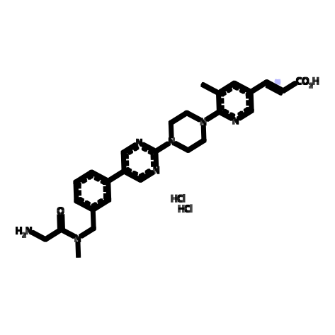 Cc1cc(/C=C/C(=O)O)cnc1N1CCN(c2ncc(-c3cccc(CN(C)C(=O)CN)c3)cn2)CC1.Cl.Cl